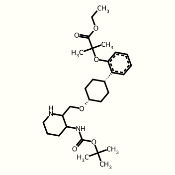 CCOC(=O)C(C)(C)Oc1ccccc1[C@H]1CC[C@@H](OCC2NCCCC2NC(=O)OC(C)(C)C)CC1